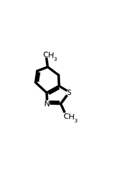 Cc1nc2c(s1)CC(C)C=C2